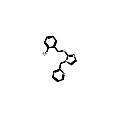 Nc1ccccc1CSc1nccn1Cc1ccccn1